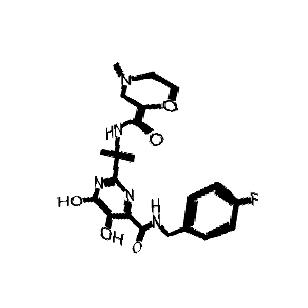 CN1CCOC(C(=O)NC(C)(C)c2nc(O)c(O)c(C(=O)NCc3ccc(F)cc3)n2)C1